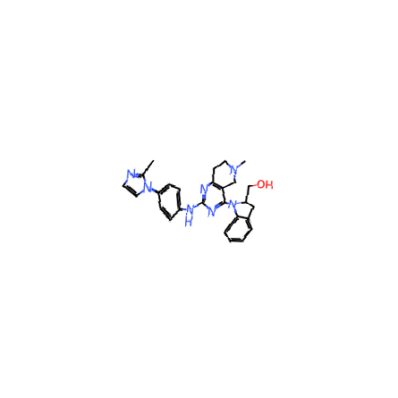 Cc1nccn1-c1ccc(Nc2nc3c(c(N4c5ccccc5CC4CO)n2)CN(C)CC3)cc1